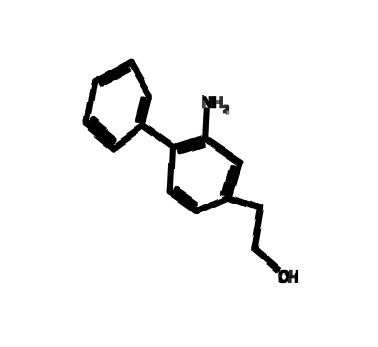 Nc1cc(CCO)ccc1-c1ccccc1